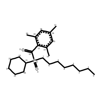 CCCCCCCCP(=O)(C(=O)c1c(C)cc(C)cc1C)C1CCCCC1